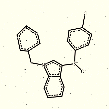 [O-][S+](c1ccc(Cl)cc1)c1cn(Cc2ccccc2)c2ccccc12